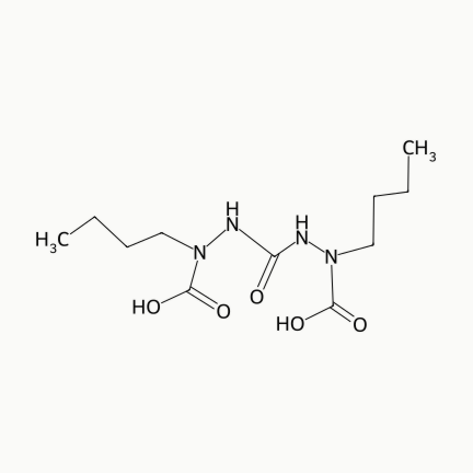 CCCCN(NC(=O)NN(CCCC)C(=O)O)C(=O)O